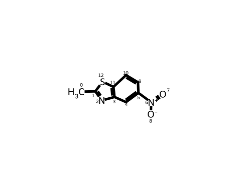 Cc1nc2cc([N+](=O)[O-])ccc2s1